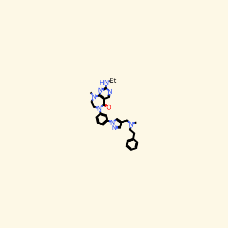 CCNc1ncc2c(n1)N(C)CCN(c1cccc(-n3cc(CN(C)CCc4ccccc4)cn3)c1)C2=O